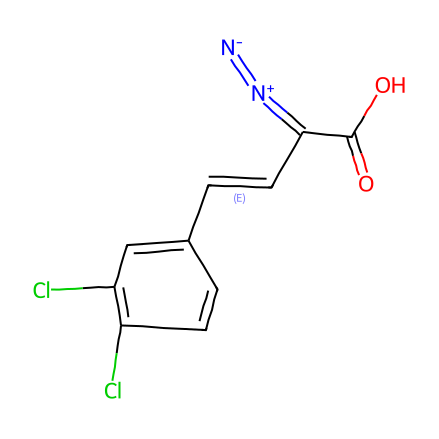 [N-]=[N+]=C(/C=C/c1ccc(Cl)c(Cl)c1)C(=O)O